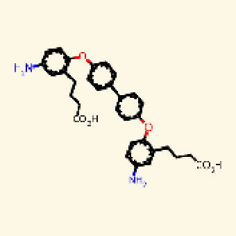 Nc1ccc(Oc2ccc(-c3ccc(Oc4ccc(N)cc4CCCC(=O)O)cc3)cc2)c(CCCC(=O)O)c1